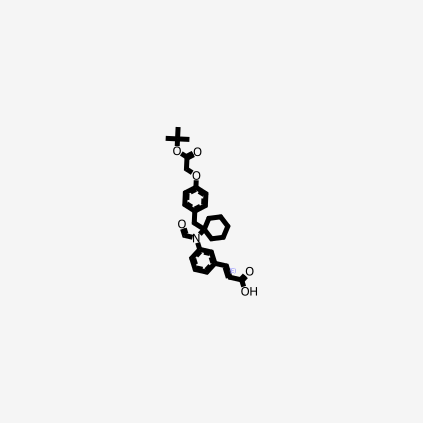 CC(C)(C)OC(=O)COc1ccc(CC2(N(C=O)c3cccc(/C=C/C(=O)O)c3)CCCCC2)cc1